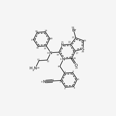 N#Cc1ccccc1Cn1c(N(CCN)c2ccccc2)nc2c(Br)csc2c1=O